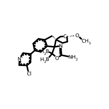 BC1(B)OC(N)=NC12c1cc(-c3cncc(Cl)c3)ccc1C[C@]21CC[C@@H](OC)CC1